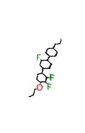 CCCOC1CCC(C2CCC(C3CCC(CCC)CC3)C(F)C2)C(F)C1F